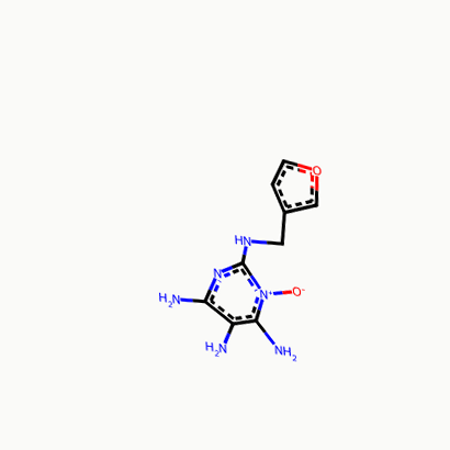 Nc1nc(NCc2ccoc2)[n+]([O-])c(N)c1N